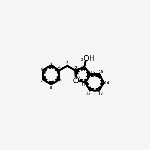 Oc1c(Cc2ccccc2)oc2ccccc12